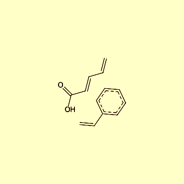 C=CC=CC(=O)O.C=Cc1ccccc1